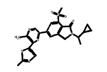 Cc1ncc(-c2nc(-c3cc4c(c(S(C)(=O)=O)c3)C(=O)N(C(C)C3CC3)C4)cnc2N)s1